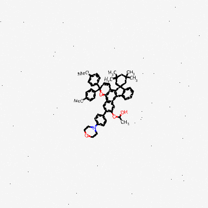 COc1ccc(C2(c3ccc(OC)cc3)C=Cc3c4c(c5cc(OC(C)O)c(-c6ccc(N7CCOCC7)cc6)cc5c3O2)-c2ccccc2C42CC(C)(C)CC(C)(C)C2)cc1